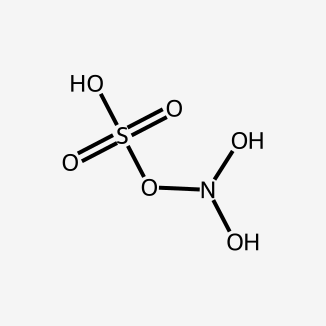 O=S(=O)(O)ON(O)O